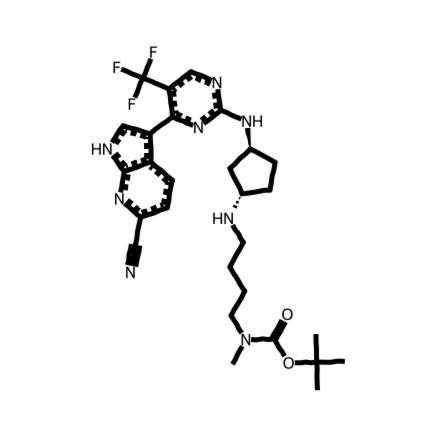 CN(CCCCN[C@H]1CC[C@H](Nc2ncc(C(F)(F)F)c(-c3c[nH]c4nc(C#N)ccc34)n2)C1)C(=O)OC(C)(C)C